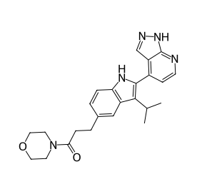 CC(C)c1c(-c2ccnc3[nH]ncc23)[nH]c2ccc(CCC(=O)N3CCOCC3)cc12